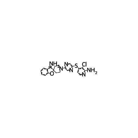 Nc1nccc(Sc2cnc(N3CCC4(CC3)Oc3ccccc3[C@H]4N)cn2)c1Cl